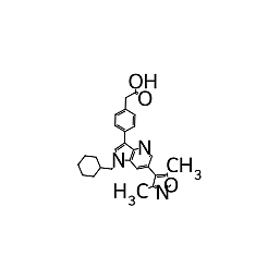 Cc1noc(C)c1-c1cnc2c(-c3ccc(CC(=O)O)cc3)cn(CC3CCCCC3)c2c1